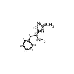 Cc1noc([C@@H](N)Cc2ccccc2)n1